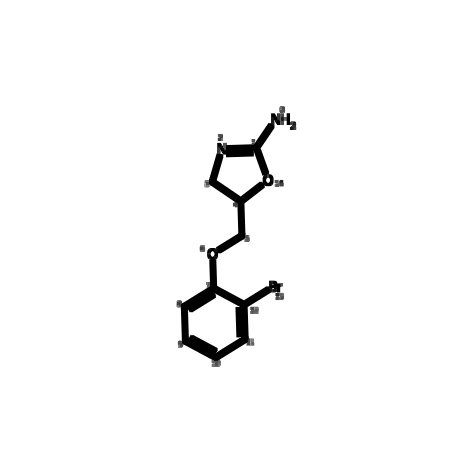 NC1=NCC(COc2ccccc2Br)O1